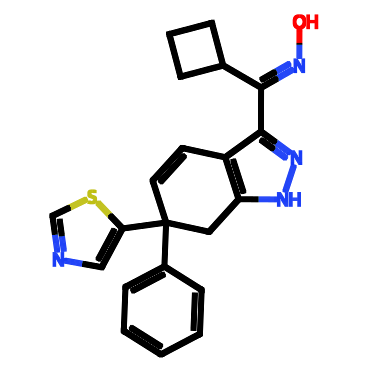 O/N=C(/c1n[nH]c2c1C=CC(c1ccccc1)(c1cncs1)C2)C1CCC1